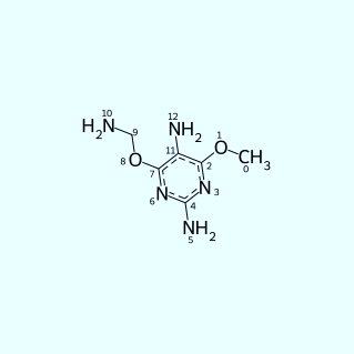 COc1nc(N)nc(OCN)c1N